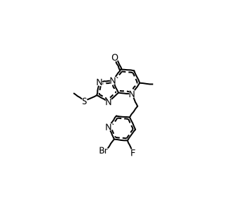 CSc1nc2n(Cc3cnc(Br)c(F)c3)c(C)cc(=O)n2n1